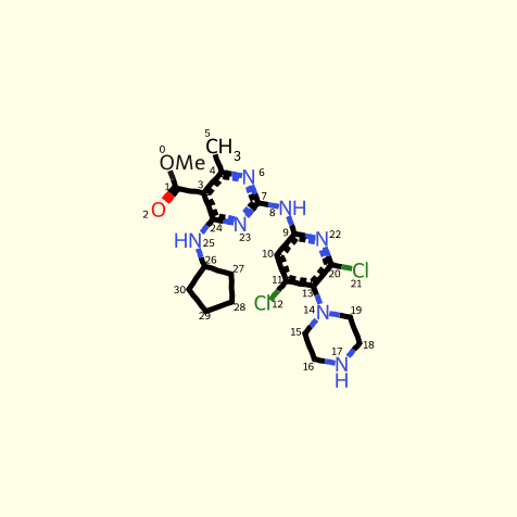 COC(=O)c1c(C)nc(Nc2cc(Cl)c(N3CCNCC3)c(Cl)n2)nc1NC1CCCC1